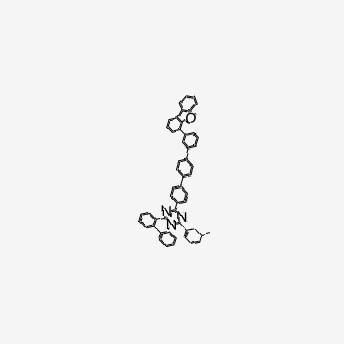 CC1C=CC=C(c2nc(-c3ccc(-c4ccc(-c5cccc(-c6cccc7c6oc6ccccc67)c5)cc4)cc3)nc(-c3ccccc3-c3ccccc3)n2)C1